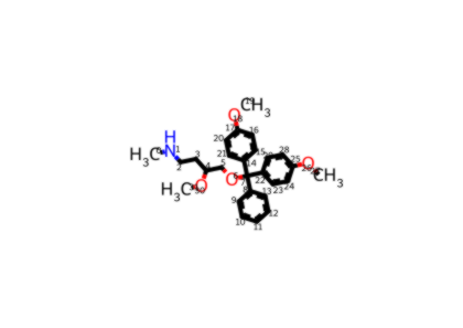 CNCCC(COC(c1ccccc1)(c1ccc(OC)cc1)c1ccc(OC)cc1)OC